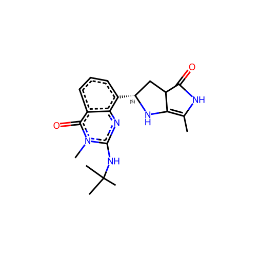 CC1=C2N[C@H](c3cccc4c(=O)n(C)c(NC(C)(C)C)nc34)CC2C(=O)N1